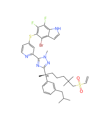 C=CS(=O)(=O)CC(C)(C)CCC[C@](C)(c1cccc(CC(C)C)c1)c1nc(-c2cc(Sc3c(F)c(F)c4[nH]ccc4c3Br)ccn2)n(C)n1